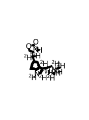 [2H]c1c(C([2H])([2H])CN(C([2H])([2H])[2H])C([2H])([2H])[2H])c2cc(C([2H])([2H])[C@H]3COC(=O)N3[2H])ccc2n1[2H]